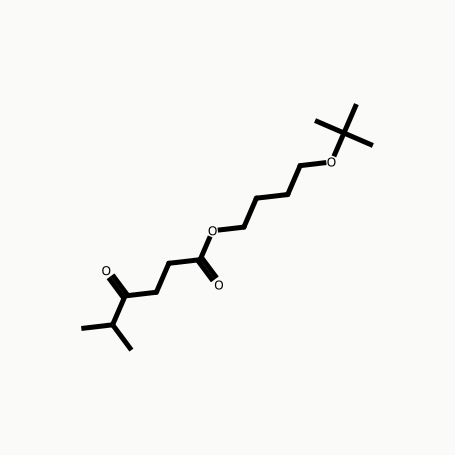 CC(C)C(=O)CCC(=O)OCCCCOC(C)(C)C